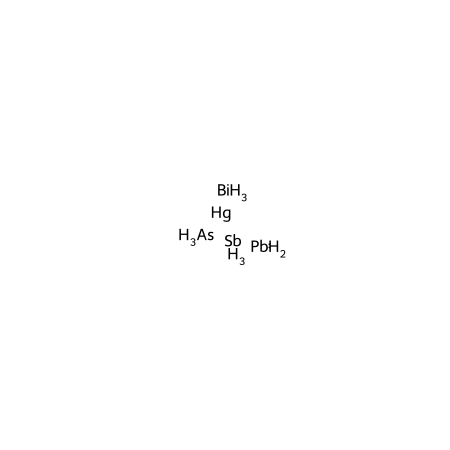 [AsH3].[BiH3].[Hg].[PbH2].[SbH3]